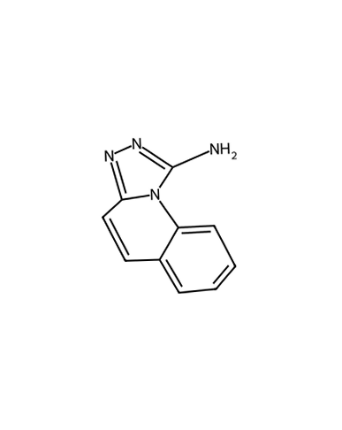 Nc1nnc2ccc3ccccc3n12